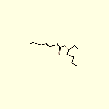 CCCCCOC(=O)C[C@H](CC)CCCC